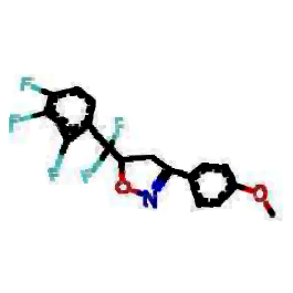 COc1ccc(C2=NOC(C(F)(F)c3ccc(F)c(F)c3F)C2)cc1